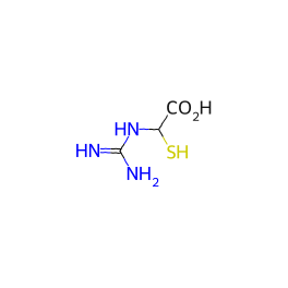 N=C(N)NC(S)C(=O)O